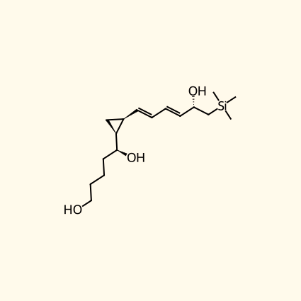 C[Si](C)(C)C[C@@H](O)/C=C/C=C/[C@@H]1C[C@@H]1[C@@H](O)CCCCO